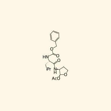 CC(=O)O[C@@H]1OCC[C@@H]1NC(=O)[C@H](CC(C)C)NC(=O)OCc1ccccc1